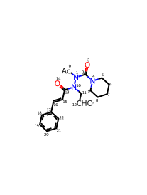 CC(=O)N(C(=O)N1CCCCC1)N(C[C]=O)C(=O)C=Cc1ccccc1